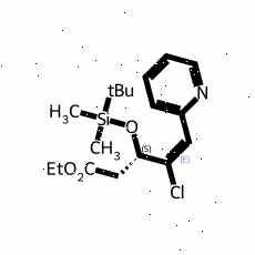 CCOC(=O)C[C@H](O[Si](C)(C)C(C)(C)C)/C(Cl)=C\c1ccccn1